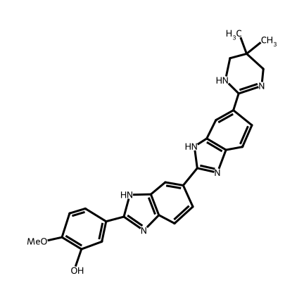 COc1ccc(-c2nc3ccc(-c4nc5ccc(C6=NCC(C)(C)CN6)cc5[nH]4)cc3[nH]2)cc1O